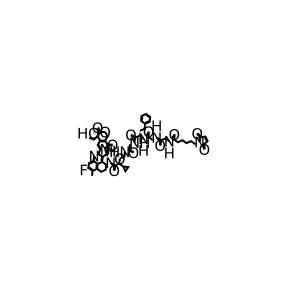 CC[C@@]1(O)C(=O)OCc2c1cc1n(c2=O)Cc2c-1nc1cc(F)c(C)c3c1c2[C@@H](NC(=O)C(OCNC(=O)CNC(=O)[C@H](CCc1ccccc1)NC(=O)CNC(=O)CNC(=O)CCCCCN1C(=O)C=CC1=O)C1CC1)CC3